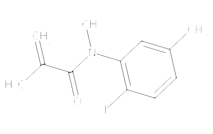 C=C(C)C(=O)N(C)c1cc(C)ccc1I